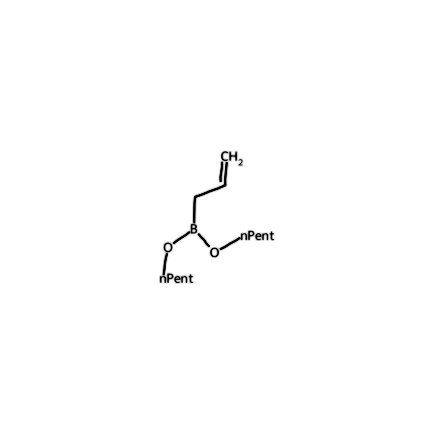 C=CCB(OCCCCC)OCCCCC